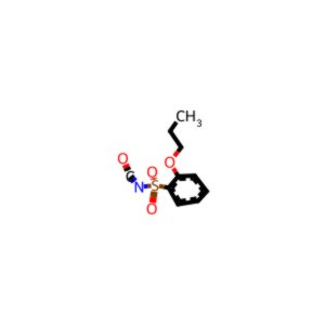 CCCOc1ccccc1S(=O)(=O)N=C=O